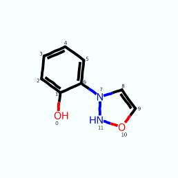 Oc1ccccc1N1C=CON1